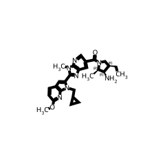 CC[C@@H]1CN(C(=O)c2cnc3c(c2)nc(-c2cc4ccc(OC)nc4n2CC2CC2)n3C)[C@H](C)[C@@H]1N